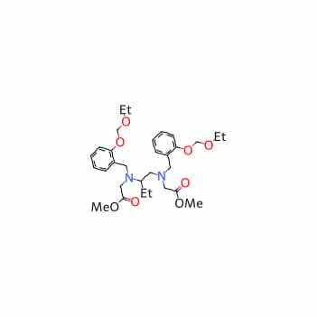 CCOCOc1ccccc1CN(CC(=O)OC)CC(CC)N(CC(=O)OC)Cc1ccccc1OCOCC